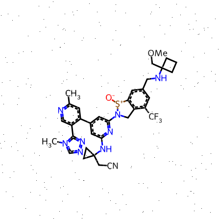 COCC1(NCc2cc3c(c(C(F)(F)F)c2)CN(c2cc(-c4cc(C)ncc4-c4nncn4C)cc(NC4(CC#N)CC4)n2)[S+]3[O-])CCC1